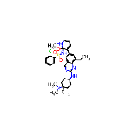 CCc1cc(C2=CC=CNC2(NS(=O)(=O)c2ccccc2Cl)OC)cc2cnc(NC3CCC(C)(N(C)C)CC3)nc12